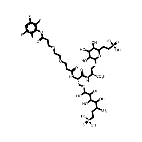 CC(CCP(=O)(O)O)C(O)C(O)C(O)C(O)OC[C@H](NC(=O)CCOCCOCCC(=O)Oc1c(F)c(F)cc(F)c1F)C(=O)N[C@@H](COC1OC(CCP(=O)(O)O)C(O)C(O)C1O)C(=O)O